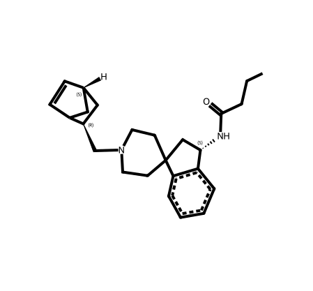 CCCC(=O)N[C@H]1CC2(CCN(C[C@@H]3C[C@H]4C=CC3C4)CC2)c2ccccc21